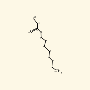 CCCCCCCCCC(=O)CI